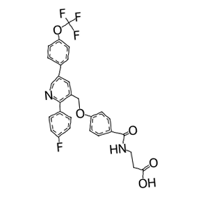 O=C(O)CCNC(=O)c1ccc(OCc2cc(-c3ccc(OC(F)(F)F)cc3)cnc2-c2ccc(F)cc2)cc1